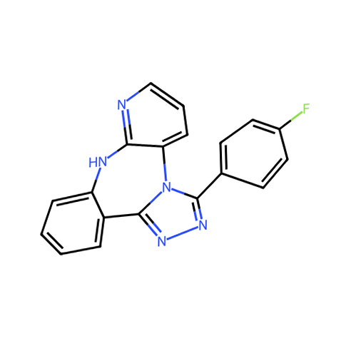 Fc1ccc(-c2nnc3n2-c2cccnc2Nc2ccccc2-3)cc1